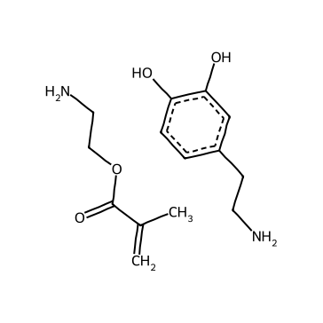 C=C(C)C(=O)OCCN.NCCc1ccc(O)c(O)c1